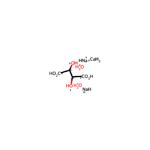 O.O.O=C(O)C(O)C(O)C(=O)O.[CaH2].[NaH].[NaH]